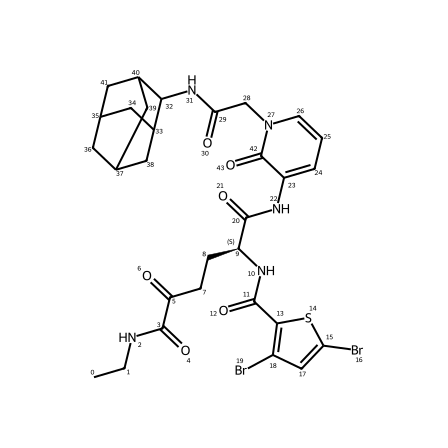 CCNC(=O)C(=O)CC[C@H](NC(=O)c1sc(Br)cc1Br)C(=O)Nc1cccn(CC(=O)NC2C3CC4CC(C3)CC2C4)c1=O